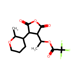 CC1OCCCC1C1C(=O)OC(=O)C1C(C)OC(=O)C(F)(F)F